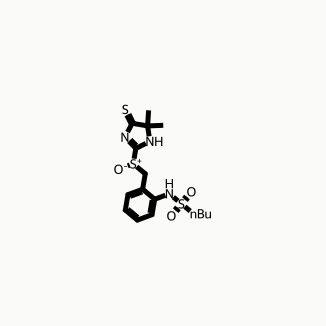 CCCCS(=O)(=O)Nc1ccccc1C[S+]([O-])C1=NC(=S)C(C)(C)N1